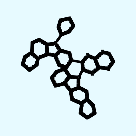 c1ccc(-n2c3cc(-c4nc5nccnc5nc4-n4c5ccccc5c5cc6ccccc6cc54)ccc3c3c4ccccc4ccc32)cc1